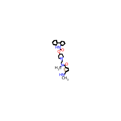 CNCc1ccc(C(=O)N(C)CCN2CCC(OC(=O)Nc3ccccc3-c3ccccc3)CC2)s1